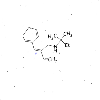 C=C/C(=C/C1=CCCC=C1)CNC(C)(C)CC